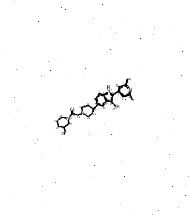 Cc1cc(-c2[nH]c3ccc(C4CCN(CC(=O)N5CCCC(F)C5)CC4)cc3c2C(C)C)cc(C)n1